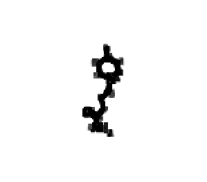 CC1CCN(CCCC(N)=O)CC1